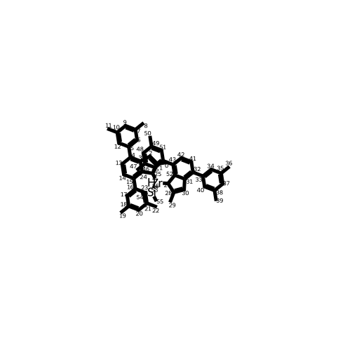 CC1=Cc2c(-c3cc(C)cc(C)c3)ccc(-c3cc(C)cc(C)c3)c2[CH]1[Zr]([CH]1C(C)=Cc2c(-c3cc(C)cc(C)c3)ccc(-c3cc(C)cc(C)c3)c21)[SiH](C)C